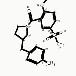 Cc1ccc(CC2CCN(C(=O)c3cc(S(C)(=O)=O)ccc3OC(C)C)C2)cc1